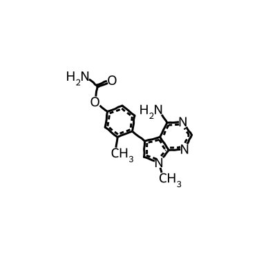 Cc1cc(OC(N)=O)ccc1-c1cn(C)c2ncnc(N)c12